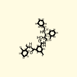 Cc1cc(C(=O)NC(C)c2ccccc2C)cc(C(=O)N[C@@H](Cc2ccccc2)[C@H](O)CN[C@@H](C)c2ccccc2)c1